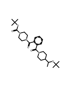 CC(OC(C)(C)C)C1CCN(C(=O)c2ccccc2C(=O)N2CCN(C(=O)OC(C)(C)C)CC2)CC1